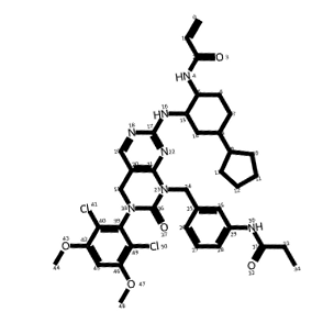 C=CC(=O)NC1CCC(C2CCCC2)CC1Nc1ncc2c(n1)N(Cc1cccc(NC(=O)CC)c1)C(=O)N(c1c(Cl)c(OC)cc(OC)c1Cl)C2